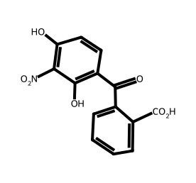 O=C(O)c1ccccc1C(=O)c1ccc(O)c([N+](=O)[O-])c1O